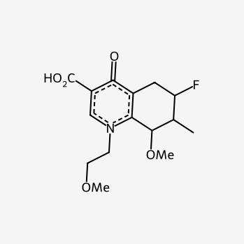 COCCn1cc(C(=O)O)c(=O)c2c1C(OC)C(C)C(F)C2